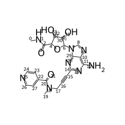 CNC(=O)C1OC(n2cnc3c(N)nc(C#CCN(C)C(=O)c4ccncc4)nc32)[C@H](O)[C@@H]1O